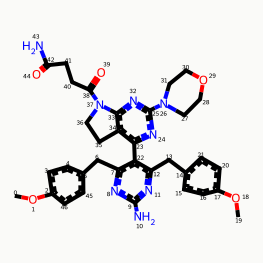 COc1ccc(Cc2nc(N)nc(Cc3ccc(OC)cc3)c2-c2nc(N3CCOCC3)nc3c2CCN3C(=O)CCC(N)=O)cc1